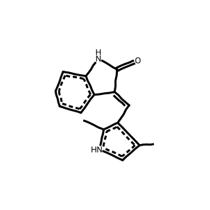 Cc1c[nH]c(C)c1C=C1C(=O)Nc2ccccc21